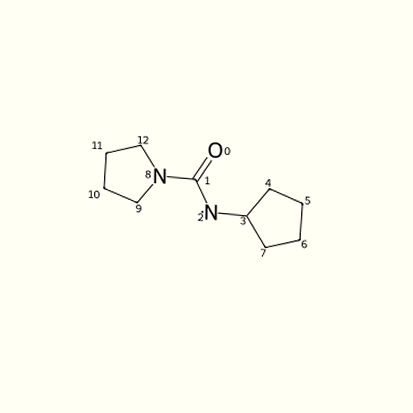 O=C([N]C1CCCC1)N1CCCC1